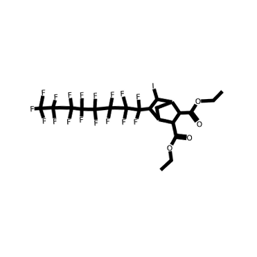 CCOC(=O)C1C2CC(C1C(=O)OCC)C(C(F)(F)C(F)(F)C(F)(F)C(F)(F)C(F)(F)C(F)(F)C(F)(F)C(F)(F)F)C2I